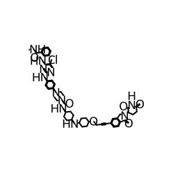 CNC(=O)c1ccccc1Nc1nc(Nc2ccc(N3CCN(C(=O)NC4CCC(NC5CCC(OCC#Cc6ccc7c(c6)CN(C6CCC(=O)NC6=O)C7=O)CC5)CC4)CC3)cc2)ncc1Cl